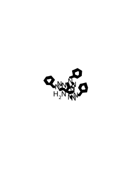 NC(c1cn(Cc2ccccc2)nn1)(c1cn(Cc2ccccc2)nn1)c1cn(Cc2ccccc2)nn1